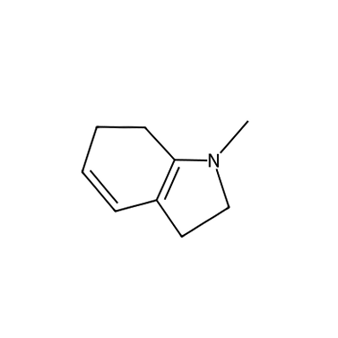 CN1CCC2=C1CCC=C2